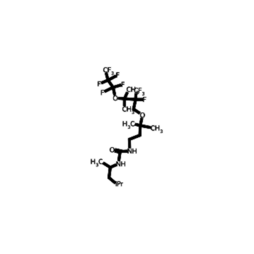 CC(C)CC(C)NC(=O)NCCC(C)(C)OCC(F)(C(F)(F)F)C(C)(C)OC(F)(F)C(F)(F)C(F)(F)F